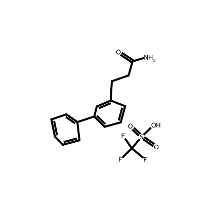 NC(=O)CCc1cccc(-c2ccccc2)c1.O=S(=O)(O)C(F)(F)F